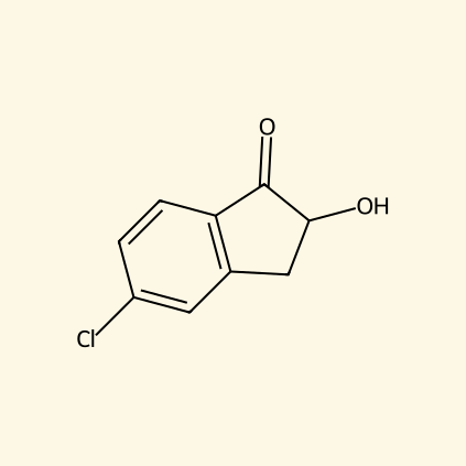 O=C1c2ccc(Cl)cc2CC1O